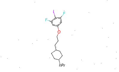 CCCC1CCC(CCCOc2cc(F)c(I)c(F)c2)CC1